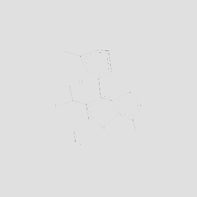 CCc1ccc2c(-c3cccc(Cl)c3)c(C(CC)C(=O)O)c(COC(C)=O)nn12